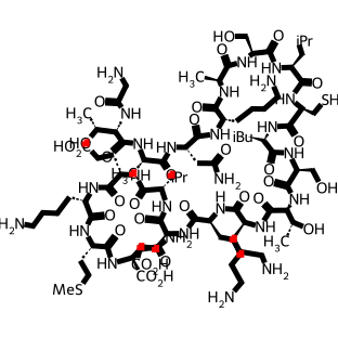 CC[C@H](C)[C@H](NC(=O)[C@H](CS)NC(=O)[C@H](CC(C)C)NC(=O)[C@H](CO)NC(=O)[C@H](C)NC(=O)[C@H](CCCCN)NC(=O)[C@H](CC(N)=O)NC(=O)[C@H](C)NC(=O)[C@@H](NC(=O)CN)[C@@H](C)O)C(=O)N[C@@H](CO)C(=O)N[C@H](C(=O)N[C@@H](CCCCN)C(=O)N[C@@H](CCCCN)C(=O)N[C@@H](CCC(=O)O)C(=O)N[C@H](C(=O)N[C@@H](CCC(=O)O)C(=O)N[C@@H](CCCCN)C(=O)N[C@@H](CCSC)C(=O)N[C@@H](CC(N)=O)C(=O)O)C(C)C)[C@@H](C)O